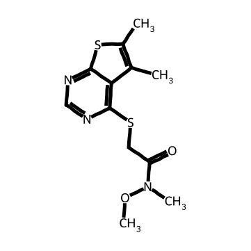 CON(C)C(=O)CSc1ncnc2sc(C)c(C)c12